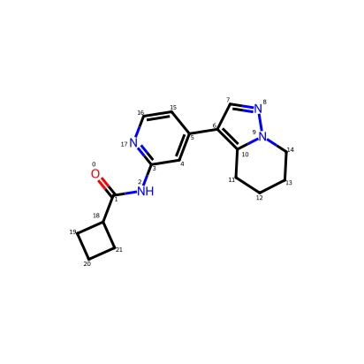 O=C(Nc1cc(-c2cnn3c2CCCC3)ccn1)C1CCC1